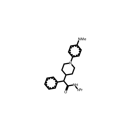 CCCNC(=O)C(c1ccccc1)C1CCN(c2ccc(NC)cc2)CC1